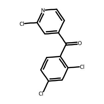 O=C(c1ccnc(Cl)c1)c1ccc(Cl)cc1Cl